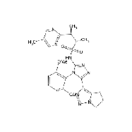 COc1cccc(OC)c1-n1c(NS(=O)(=O)[C@@H](C)[C@H](C)c2ncc(C)cn2)nnc1-c1cnn2c1CCC2